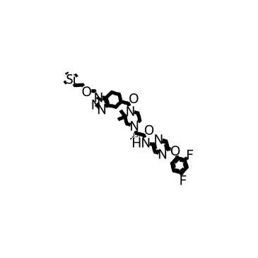 C[C@@H](C(=O)Nc1cnc(Oc2ccc(F)cc2F)cn1)N1CCN(C(=O)C2CCc3c(nnn3COCC[Si](C)(C)C)C2)C(C)(C)C1